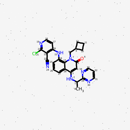 CC(Nc1cc(=O)n(CC2CCC2)c2c(Nc3ccnc(Cl)c3C#N)cccc12)c1ncccn1